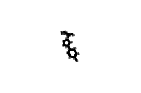 Cc1ccc(N2CC[C@H](N(C)S)C2)cc1